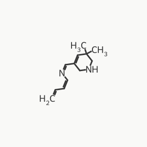 C=C/C=C\N=C/C1=CC(C)(C)CNC1